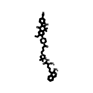 CCc1cc2c(cc1N1CCN(C(=O)CCCN3C[C@H](NC(=O)[C@@H](N)CCCc4c(N)ncc5ccccc45)C(C)(C)C3)CC1)C(C)(C)c1[nH]c3cc(C#N)ccc3c1C2=O